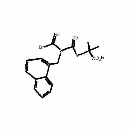 CC(C)(SC(=N)N(Cc1cccc2ccccc12)C(=N)Br)C(=O)O